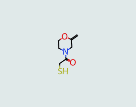 C=C1CN(C(=O)CS)CCO1